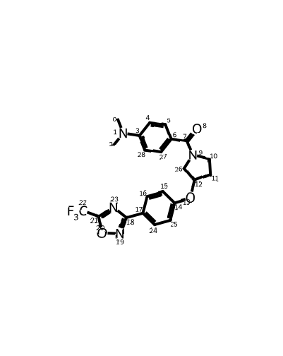 CN(C)c1ccc(C(=O)N2CCC(Oc3ccc(-c4noc(C(F)(F)F)n4)cc3)C2)cc1